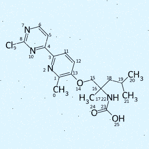 Cc1nc(-c2ccnc(Cl)n2)ccc1OCC(C)(CC(C)C)NC(=O)O